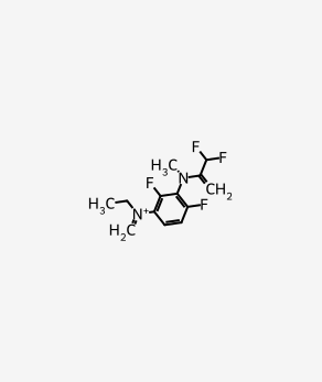 C=C(C(F)F)N(C)c1c(F)ccc([N+](=C)CC)c1F